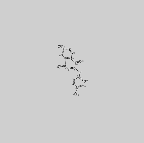 O=C1C=C(Cc2ccc(C(F)(F)F)cn2)C(=O)c2ccc(Cl)cc21